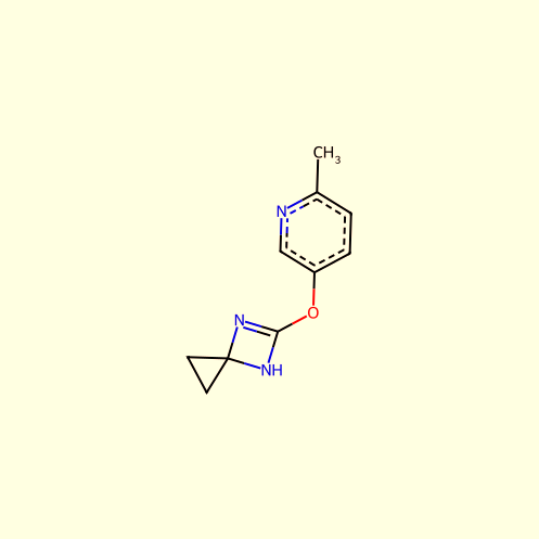 Cc1ccc(OC2=NC3(CC3)N2)cn1